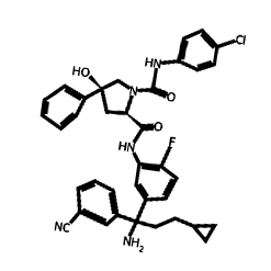 N#Cc1cccc(C(N)(CCC2CC2)c2ccc(F)c(NC(=O)[C@H]3C[C@](O)(c4ccccc4)CN3C(=O)Nc3ccc(Cl)cc3)c2)c1